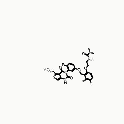 CN(C)C(=O)NCCOc1ccc(F)c(F)c1COc1ccc(F)c(-n2c(=O)[nH]c3csc(C(=O)O)c3c2=O)c1